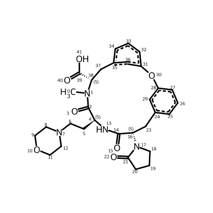 CN1C(=O)[C@H](CCN2CCOCC2)NC(=O)[C@@H](N2CCCC2=O)Cc2cccc(c2)Oc2cccc(c2)C[C@H]1C(=O)O